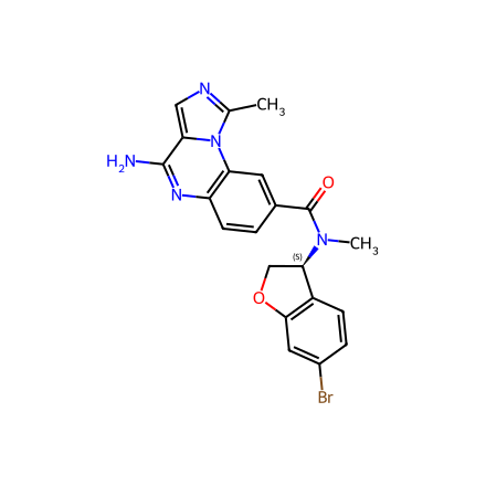 Cc1ncc2c(N)nc3ccc(C(=O)N(C)[C@@H]4COc5cc(Br)ccc54)cc3n12